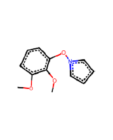 COc1cccc(On2c[c]cc2)c1OC